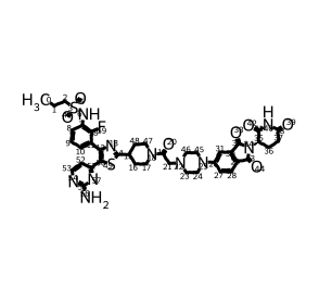 CCCS(=O)(=O)Nc1cccc(-c2nc(C3CCN(C(=O)CN4CCN(c5ccc6c(c5)C(=O)N([C@@H]5CCC(=O)NC5=O)C6=O)CC4)CC3)sc2-c2ccnc(N)n2)c1F